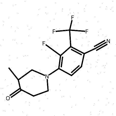 CC1CN(c2ccc(C#N)c(C(F)(F)F)c2F)CCC1=O